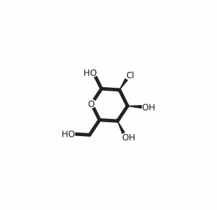 OCC1OC(O)[C@@H](Cl)[C@@H](O)[C@H]1O